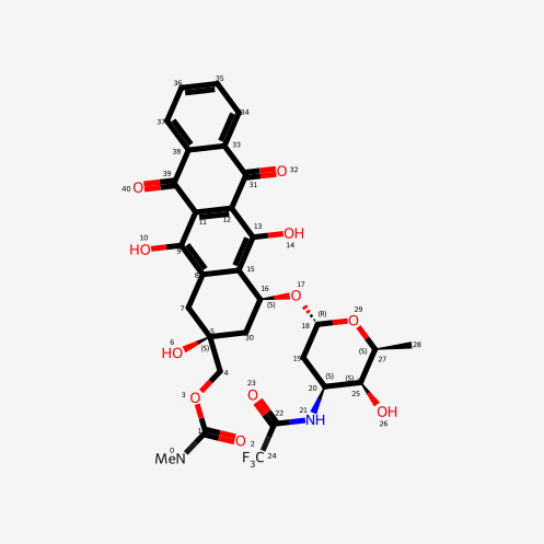 CNC(=O)OC[C@]1(O)Cc2c(O)c3c(c(O)c2[C@@H](O[C@H]2C[C@H](NC(=O)C(F)(F)F)[C@H](O)[C@H](C)O2)C1)C(=O)c1ccccc1C3=O